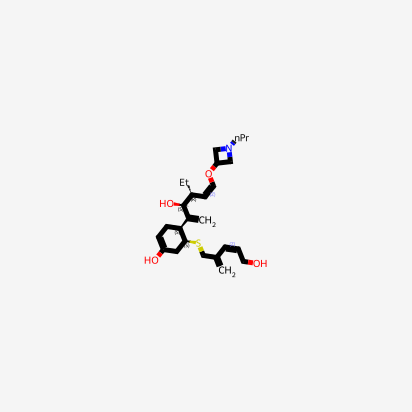 C=C(/C=C\CO)CS[C@H]1CC(O)=CC[C@H]1C(=C)[C@@H](O)[C@@H](/C=C\OC1CN(CCC)C1)CC